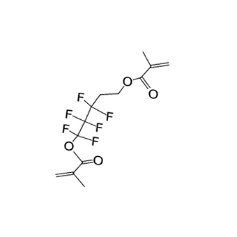 C=C(C)C(=O)OCCC(F)(F)C(F)(F)C(F)(F)OC(=O)C(=C)C